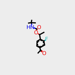 CC(=O)c1ccc(C(C)OC(=O)NC(C)(C)C)c(F)c1